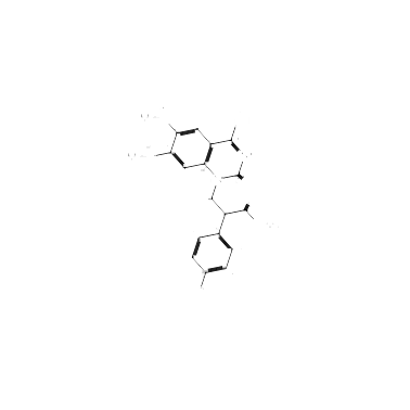 COC(=O)C(Cn1c(=O)nc(C)c2cc(OC)c(OC)cc21)c1ccc(Cl)cc1